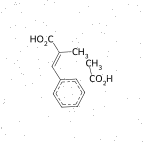 CC(=Cc1ccccc1)C(=O)O.CC(=O)O